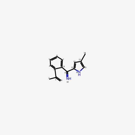 C=C(C)c1ccccc1C(=N)c1cc(C)c[nH]1